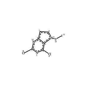 Clc1nc(Cl)c2c(ccn2SI)n1